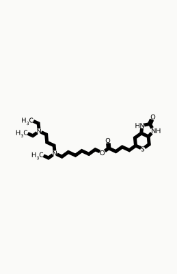 CCN(CC)CCCN(CC)CCCCCCOC(=O)CCCC1CC2NC(=O)NC2CS1